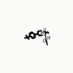 CCC(=O)NCC(CC)C(=O)N1CCC(c2ccc(C(C)(C)C)cc2)CC1